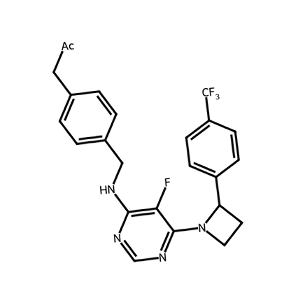 CC(=O)Cc1ccc(CNc2ncnc(N3CCC3c3ccc(C(F)(F)F)cc3)c2F)cc1